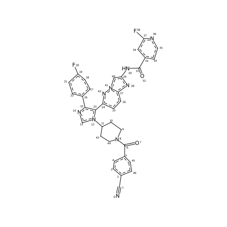 N#Cc1ccc(C(=O)N2CCC(n3cnc(-c4ccc(F)cc4)c3-c3ccc4nc(NC(=O)c5ccnc(F)c5)cn4n3)CC2)cc1